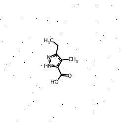 CCc1n[nH]c(C(=O)O)c1C